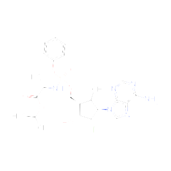 CC(C)OC(=O)[C@H](C)NP(=O)(OC[C@H]1C(C)[C@@H](n2cnc3c(N)ncnc32)[C@H](F)[C@@H]1O)Oc1ccccc1